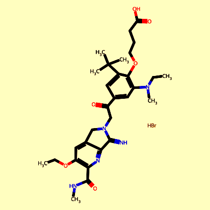 Br.CCOc1cc2c(nc1C(=O)NC)C(=N)N(CC(=O)c1cc(N(C)CC)c(OCCCC(=O)O)c(C(C)(C)C)c1)C2